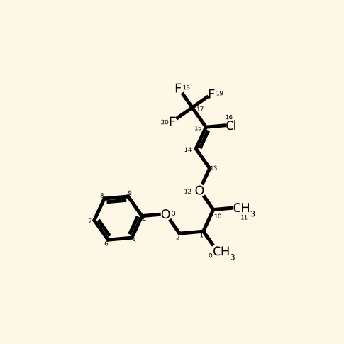 CC(COc1ccccc1)C(C)OCC=C(Cl)C(F)(F)F